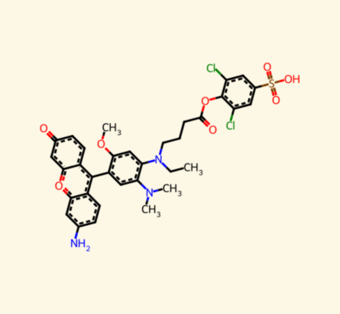 CCN(CCCC(=O)Oc1c(Cl)cc(S(=O)(=O)O)cc1Cl)c1cc(OC)c(-c2c3ccc(=O)cc-3oc3cc(N)ccc23)cc1N(C)C